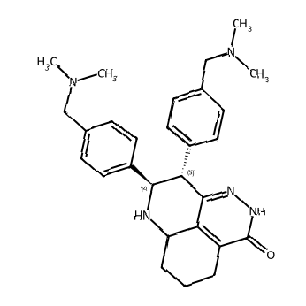 CN(C)Cc1ccc([C@@H]2c3n[nH]c(=O)c4c3C(CCC4)N[C@H]2c2ccc(CN(C)C)cc2)cc1